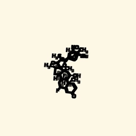 C[C@@H]1C[C@H]2[C@@H]3C[C@H](F)C4=CC(=O)C=C[C@]4(C)[C@@]3(F)[C@@H](O)C[C@]2(C)[C@@]1(OC(=O)c1cccc([N+](=O)[O-])c1)C(=O)N(C)CCO[Si](C)(C)C(C)(C)C